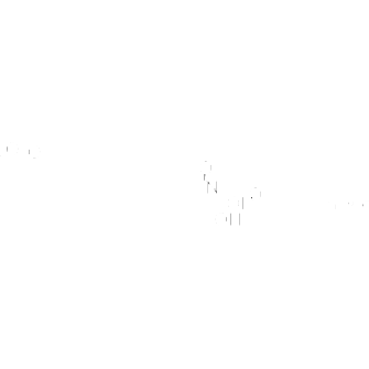 CCCCCCCCCCCCCCCCOCC(O)CN(CCO)C(=O)CCCCCCCCCCCCCCCOC1CCCCO1